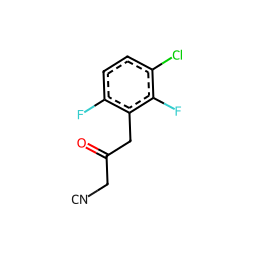 [C-]#[N+]CC(=O)Cc1c(F)ccc(Cl)c1F